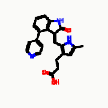 Cc1cc(CCC(=O)O)c(C=C2C(=O)Nc3cccc(-c4ccncc4)c32)[nH]1